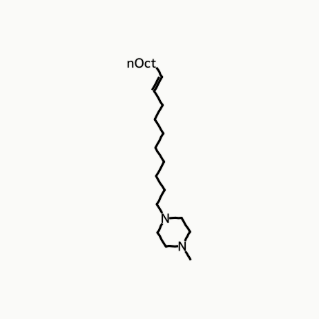 CCCCCCCCC=CCCCCCCCCN1CCN(C)CC1